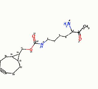 CC(=O)C(N)CCCCNC(=O)OCC1C2CCC#CCCC21